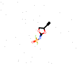 C#CC1COC(=NP(=O)(F)F)O1